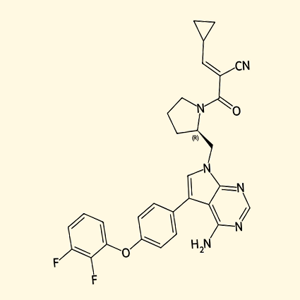 N#CC(=CC1CC1)C(=O)N1CCC[C@@H]1Cn1cc(-c2ccc(Oc3cccc(F)c3F)cc2)c2c(N)ncnc21